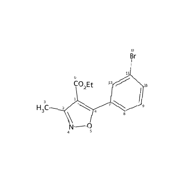 CCOC(=O)c1c(C)noc1-c1cccc(Br)c1